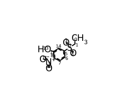 CCS(=O)(=O)c1ccc([N+](=O)[O-])c(O)c1